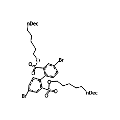 CCCCCCCCCCCCCCCOS(=O)(=O)c1cc(Br)ccc1-c1ccc(Br)cc1S(=O)(=O)OCCCCCCCCCCCCCCC